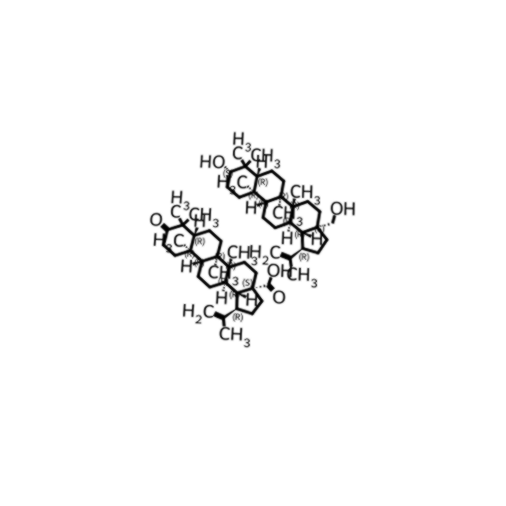 C=C(C)[C@@H]1CC[C@]2(C(=O)O)CC[C@]3(C)[C@H](CC[C@@H]4[C@@]5(C)CCC(=O)C(C)(C)[C@@H]5CC[C@]43C)[C@@H]12.C=C(C)[C@@H]1CC[C@]2(CO)CC[C@]3(C)[C@H](CC[C@@H]4[C@@]5(C)CC[C@H](O)C(C)(C)[C@@H]5CC[C@]43C)[C@@H]12